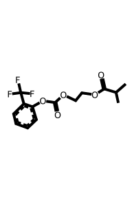 CC(C)C(=O)OCCOC(=O)Oc1ccccc1C(F)(F)F